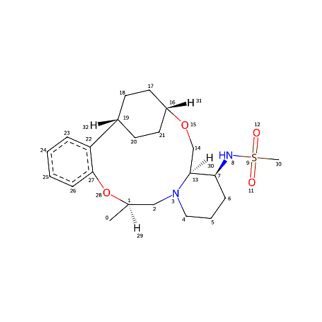 C[C@@H]1CN2CCC[C@H](NS(C)(=O)=O)[C@@H]2CO[C@H]2CC[C@H](CC2)c2ccccc2O1